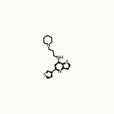 c1cc(-c2cc(NCCCN3CCCCC3)c3sccc3n2)cs1